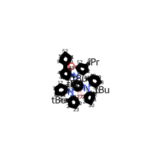 CC(C)c1ccc(N(c2cc3c4c(c2)N(c2ccccc2C(C)(C)C)c2c(cccc2C(C)(C)C)B4c2cccc(C(C)(C)C)c2N3c2ccccc2C(C)(C)C)c2cccc3c2oc2ccccc23)cc1